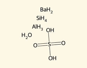 O.O=S(=O)(O)O.[AlH3].[BaH2].[SiH4]